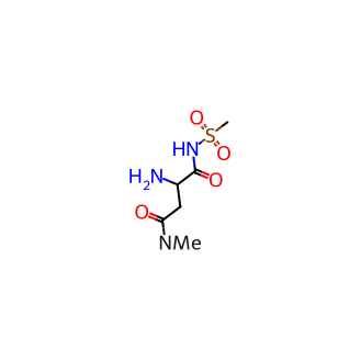 CNC(=O)CC(N)C(=O)NS(C)(=O)=O